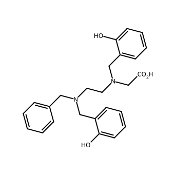 O=C(O)CN(CCN(Cc1ccccc1)Cc1ccccc1O)Cc1ccccc1O